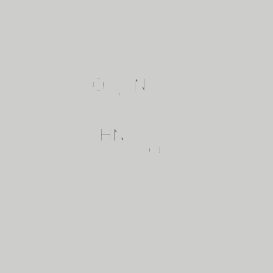 C=CCN1CC(NC(=O)Cc2ccsc2)C1=O